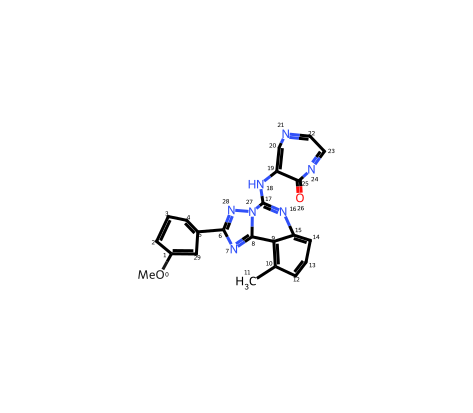 COc1cccc(-c2nc3c4c(C)cccc4nc(Nc4cnccnc4=O)n3n2)c1